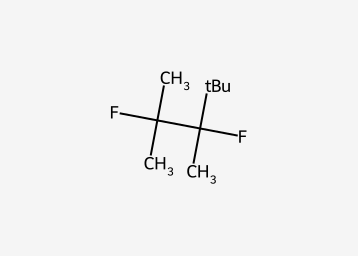 CC(C)(C)C(C)(F)C(C)(C)F